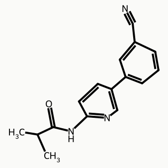 CC(C)C(=O)Nc1ccc(-c2cccc(C#N)c2)cn1